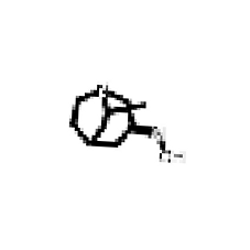 CC1CC2CCN1C/C(=N/O)C2